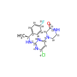 C[C@H](Nc1nc(Cl)cc(N2CCNC(=O)C2)n1)c1ccc(F)cc1